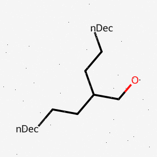 CCCCCCCCCCCCC(C[O])CCCCCCCCCCCC